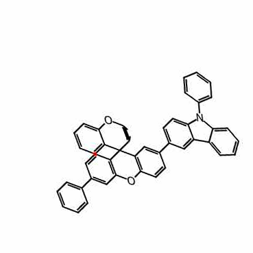 c1ccc(-c2ccc3c(c2)Oc2ccc(-c4ccc5c(c4)c4ccccc4n5-c4ccccc4)cc2C32c3ccccc3Oc3ccccc32)cc1